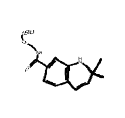 CC1(C)C=Cc2ccc(C(=O)NOC(C)(C)C)cc2N1